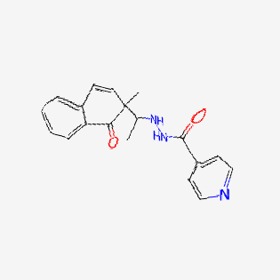 CC(NNC(=O)c1ccncc1)C1(C)C=Cc2ccccc2C1=O